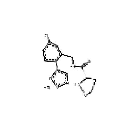 Cl.O=C(NCc1cc(Cl)ccc1-n1cnnn1)[C@@H]1CCON1